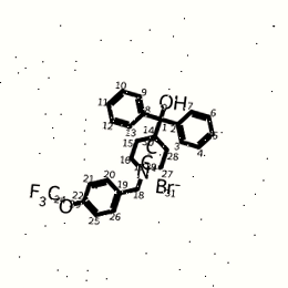 OC(c1ccccc1)(c1ccccc1)C12CC[N+](Cc3ccc(OC(F)(F)F)cc3)(CC1)CC2.[Br-]